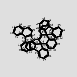 C=C/C=C\C1=C(n2c3ccccc3c3c4ccccc4ccc32)C2(c3ccccc3-c3ccccc32)c2ccccc2C12c1ccccc1-c1ccccc12